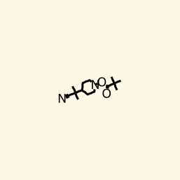 CC(C)(C)C(=O)ON1CCC(C(C)(C)C#N)CC1